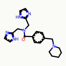 O=C(c1ccc(CN2CCCCC2)cc1)N(Cc1ncc[nH]1)Cc1ncc[nH]1